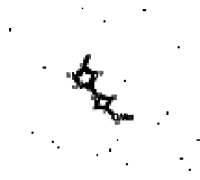 COC1CN(c2nnc(C)o2)C1